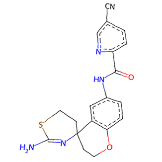 N#Cc1ccc(C(=O)Nc2ccc3c(c2)C2(CCO3)CCSC(N)=N2)nc1